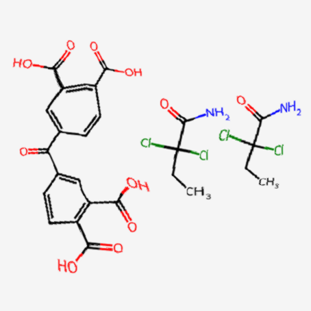 CCC(Cl)(Cl)C(N)=O.CCC(Cl)(Cl)C(N)=O.O=C(c1ccc(C(=O)O)c(C(=O)O)c1)c1ccc(C(=O)O)c(C(=O)O)c1